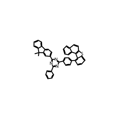 CC1(C)c2ccccc2-c2ccc(-c3nc(-c4ccccc4)nc(-c4ccc(-c5cccc6sc7ccc8ccccc8c7c56)cc4)n3)cc21